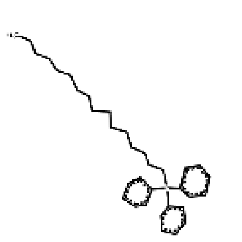 CCCCCCCCCCCCCCCC[P](c1ccccc1)(c1ccccc1)c1ccccc1